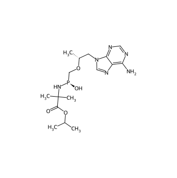 CC(C)OC(=O)C(C)(C)N[P@](O)CO[C@H](C)Cn1cnc2c(N)ncnc21